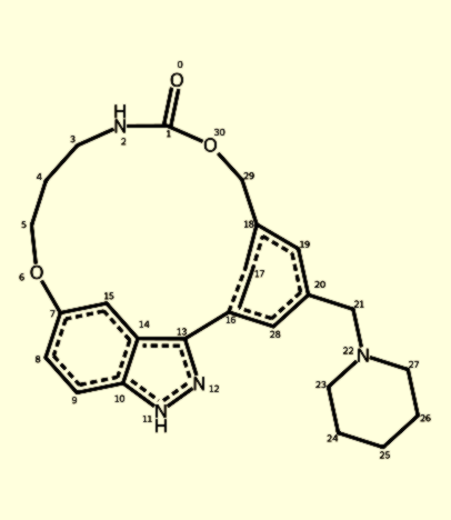 O=C1NCCCOc2ccc3[nH]nc(c3c2)-c2cc(cc(CN3CCCCC3)c2)CO1